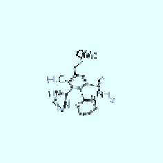 COCCc1cc(C(N)=O)c(-c2ccccn2)c(-c2nnc[nH]2)c1C